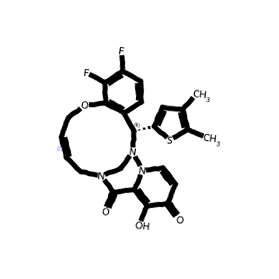 Cc1cc([C@H]2c3ccc(F)c(F)c3OC/C=C\CN3CN2n2ccc(=O)c(O)c2C3=O)sc1C